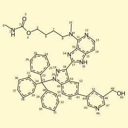 CNC(=O)OCCCCN(C)c1nccc2[nH]c(-c3nn(C(c4ccccc4)(c4ccccc4)c4ccccc4)c4ccc(-c5cncc(CO)c5)cc34)nc12